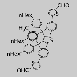 CCCCCCc1ccc(C2(c3ccc(C)cc3)c3cc(-c4ccc(C=O)s4)ccc3-c3sc4c(c32)C(c2ccc(CCCCCC)cc2)(c2ccc(CCCCCC)cc2)c2cc(-c3ccc(C=O)s3)ccc2-4)cc1